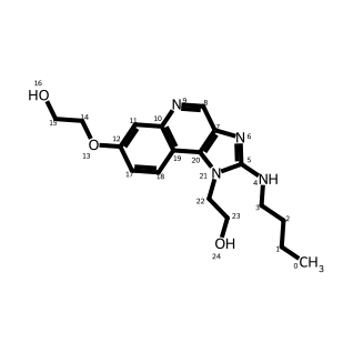 CCCCNc1nc2cnc3cc(OCCO)ccc3c2n1CCO